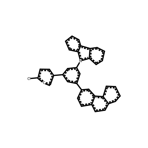 Clc1ccc(-c2cc(-c3ccc4ccc5ccccc5c4c3)cc(-n3c4ccccc4c4ccccc43)c2)cc1